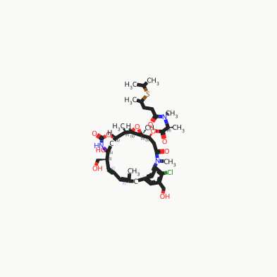 C/C1=C\C=C\[C@@H](CO)[C@@]2(O)C[C@H](OC(=O)N2)[C@@H](C)[C@@H]2O[C@@]2(C)[C@@H](OC(=O)[C@@H](C)N(C)C(=O)CCC(C)SC(C)C)CC(=O)N(C)c2cc(cc(CO)c2Cl)C1